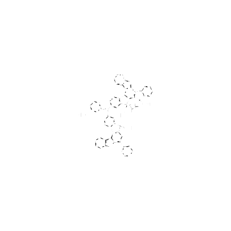 Cc1cccc(N(c2ccc3c(c2)C(C)(C)c2cc(-c4ccccc4)c4oc5ccccc5c4c2-3)c2ccc3c(c2)C(C)(C)c2c4c(c5oc6ccccc6c5c2-3)-c2ccccc2C4(C)C)c1